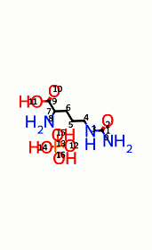 NC(=O)NCCCC(N)C(=O)O.O=P(O)(O)O